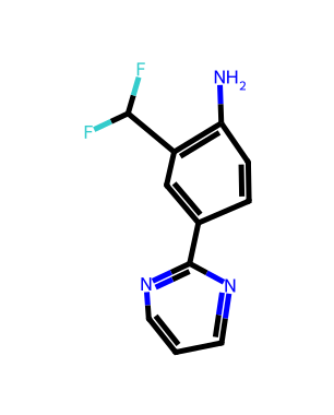 Nc1ccc(-c2ncccn2)cc1C(F)F